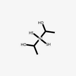 CC(O)[N+](S)(S)C(C)O